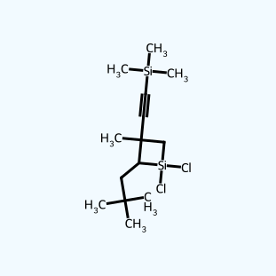 CC(C)(C)CC1C(C)(C#C[Si](C)(C)C)C[Si]1(Cl)Cl